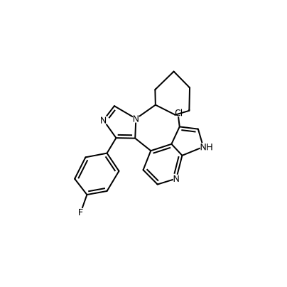 Fc1ccc(-c2ncn(C3CCCCC3)c2-c2ccnc3[nH]cc(Cl)c23)cc1